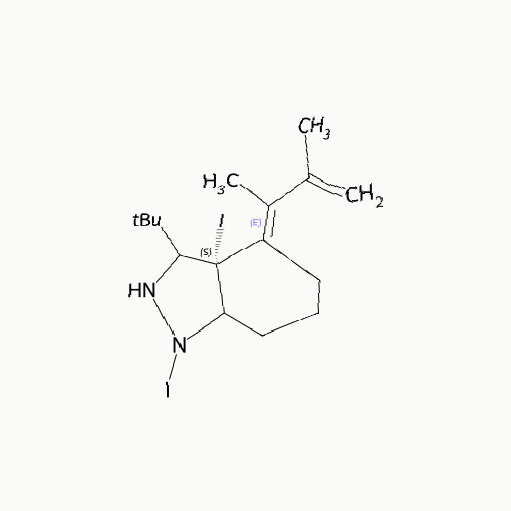 C=C(C)/C(C)=C1\CCCC2N(I)NC(C(C)(C)C)[C@@]12I